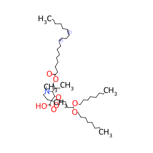 CCCCC/C=C\C/C=C\CCCCCCCC(=O)OCC(CC)C1C(OC(=O)CCC(OCCCCCCCC)OCCCCCCCC)C(C)(C(=O)O)CCN1C